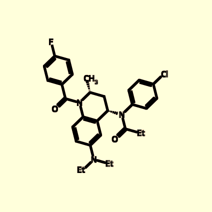 CCC(=O)N(c1ccc(Cl)cc1)[C@H]1C[C@@H](C)N(C(=O)c2ccc(F)cc2)c2ccc(N(CC)CC)cc21